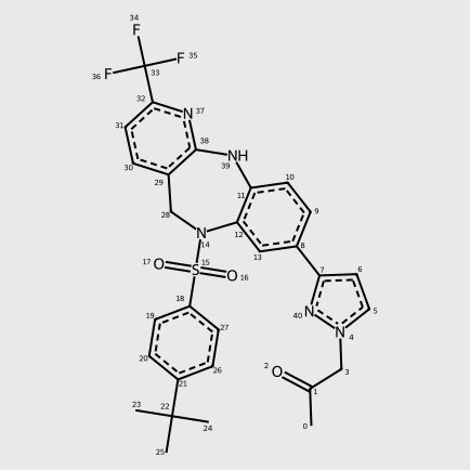 CC(=O)Cn1ccc(-c2ccc3c(c2)N(S(=O)(=O)c2ccc(C(C)(C)C)cc2)Cc2ccc(C(F)(F)F)nc2N3)n1